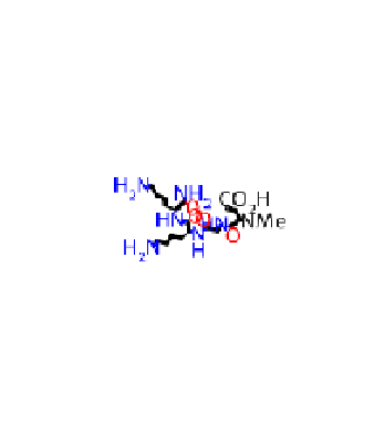 CN[C@@H](CCC(=O)O)C(=O)NCC(=O)N[C@@H](CCCCN)C(=O)N[C@@H](CCCCN)C(N)=O